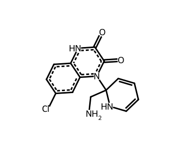 NCC1(n2c(=O)c(=O)[nH]c3ccc(Cl)cc32)C=CC=CN1